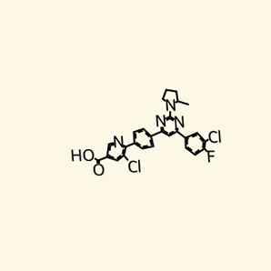 CC1CCCN1c1nc(-c2ccc(-c3ncc(C(=O)O)cc3Cl)cc2)cc(-c2ccc(F)c(Cl)c2)n1